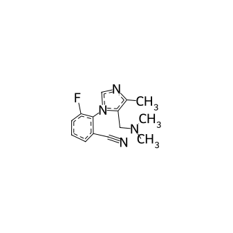 Cc1ncn(-c2c(F)cccc2C#N)c1CN(C)C